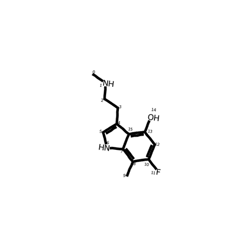 CNCCc1c[nH]c2c(C)c(F)cc(O)c12